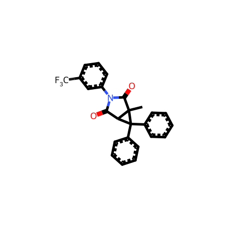 CC12C(=O)N(c3cccc(C(F)(F)F)c3)C(=O)C1C2(c1ccccc1)c1ccccc1